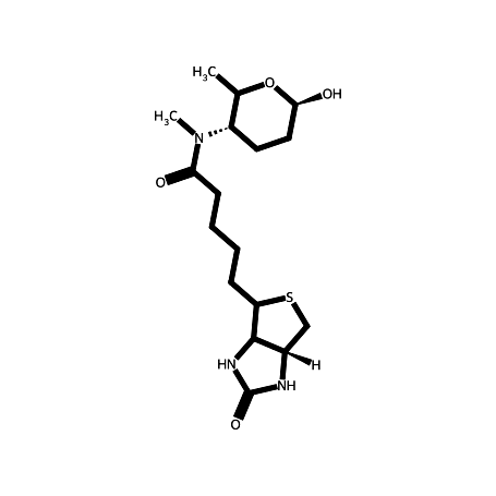 CC1O[C@@H](O)CC[C@@H]1N(C)C(=O)CCCCC1SC[C@@H]2NC(=O)NC12